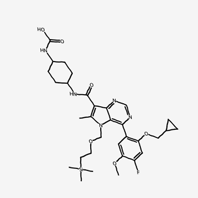 COc1cc(-c2ncnc3c(C(=O)NC4CCC(NC(=O)O)CC4)c(C)n(COCC[Si](C)(C)C)c23)c(OCC2CC2)cc1F